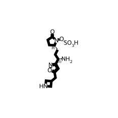 N[C@@H](CC[C@@H]1CCC(=O)N1OS(=O)(=O)O)c1cc(CC2CNC2)on1